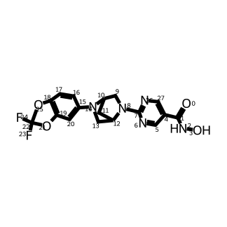 O=C(NO)c1cnc(N2CC3CC2CN3c2ccc3c(c2)OC(F)(F)O3)nc1